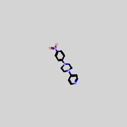 O=[N+]([O-])c1ccc(N2CCN(c3ccncc3)CC2)cc1